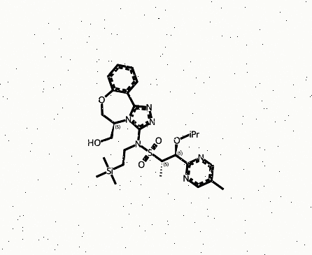 Cc1cnc([C@H](OC(C)C)[C@H](C)S(=O)(=O)N(CC[Si](C)(C)C)c2nnc3n2[C@@H](CO)COc2ccccc2-3)nc1